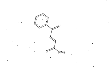 CNC(=O)/C=C/C(=O)c1ccccc1